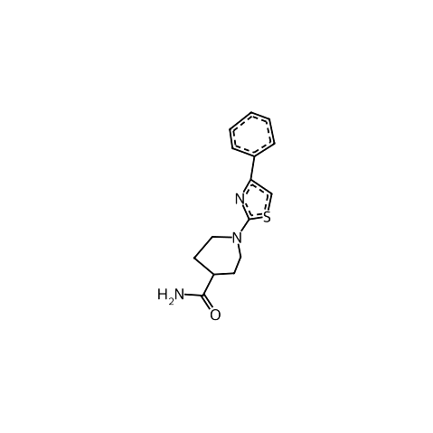 NC(=O)C1CCN(c2nc(-c3ccccc3)cs2)CC1